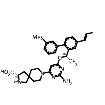 C/C=C/c1ccc(-c2cccc(SC)c2)c([C@@H](Oc2cc(N3CCC4(CC3)CN[C@H](C(=O)O)C4)nc(N)n2)C(F)(F)F)c1